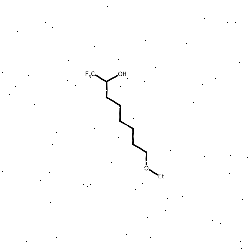 CCOCCCCCCC(O)C(F)(F)F